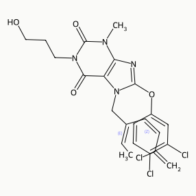 C=C(Cl)/C=C\C(=C/C)Cn1c(Oc2ccc(Cl)c(Cl)c2)nc2c1c(=O)n(CCCO)c(=O)n2C